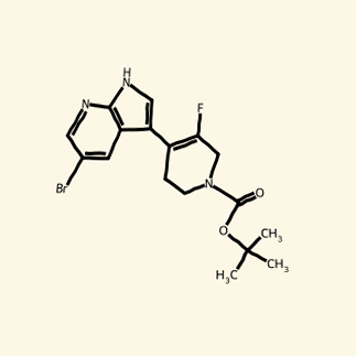 CC(C)(C)OC(=O)N1CCC(c2c[nH]c3ncc(Br)cc23)=C(F)C1